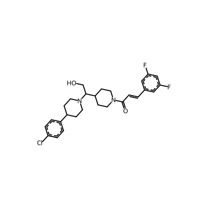 O=C(C=Cc1cc(F)cc(F)c1)N1CCC(C(CO)N2CCC(c3ccc(Cl)cc3)CC2)CC1